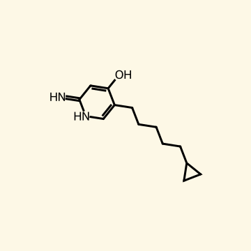 N=c1cc(O)c(CCCCCC2CC2)c[nH]1